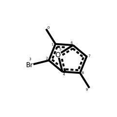 Cc1c(Br)c2oc1cc2C